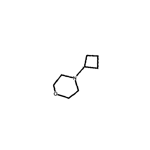 C1C[C](N2CCOCC2)C1